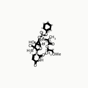 B[C@@]1(Cl)[C@H](n2ccc(=O)[nH]c2=O)O[C@@H]2C(OP(=O)(N[C@@H](C)C(=O)OC(C)COC)Oc3ccccc3)[C@@]21O